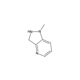 CN1NCc2ncccc21